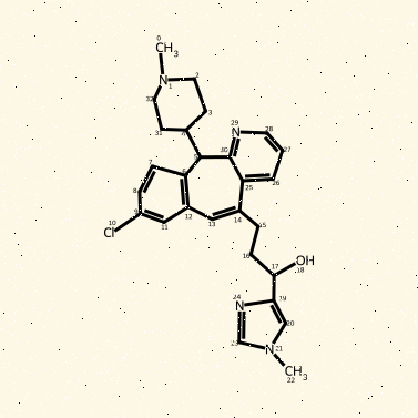 CN1CCC(C2c3ccc(Cl)cc3C=C(CCC(O)c3cn(C)cn3)c3cccnc32)CC1